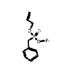 C=CCOP(=O)(Cc1ccccc1)OC(C)C